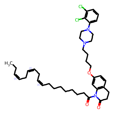 CC/C=C\C/C=C\C/C=C\CCCCCCCC(=O)N1C(=O)CCc2ccc(OCCCCN3CCN(c4cccc(Cl)c4Cl)CC3)cc21